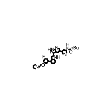 CCCCC(=O)Nc1cncc(-c2cnc3[nH]nc(-c4cc5c(-c6cc(F)cc(OCCN7CCCC7)c6)cccc5[nH]4)c3c2)c1